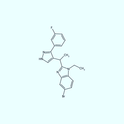 CCn1c(C(C)c2c[nH]nc2-c2cccc(F)c2)nc2cc(Br)ccc21